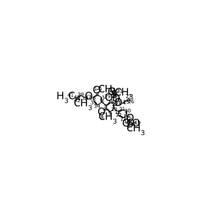 COc1cc(-c2c(OC)cc(-c3ccc(OS(C)(=O)=O)cc3)c(OCC3CC3)c2OS(C)(=O)=O)ccc1OCC=C(C)C